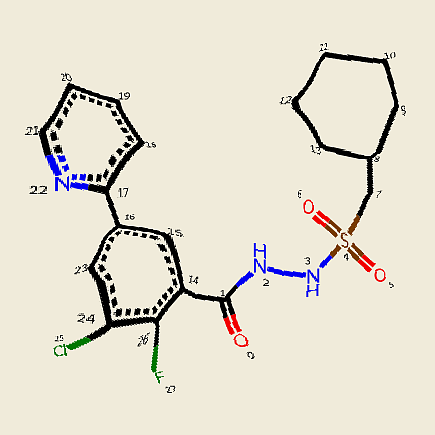 O=C(NNS(=O)(=O)CC1CCCCC1)c1cc(-c2ccccn2)cc(Cl)c1F